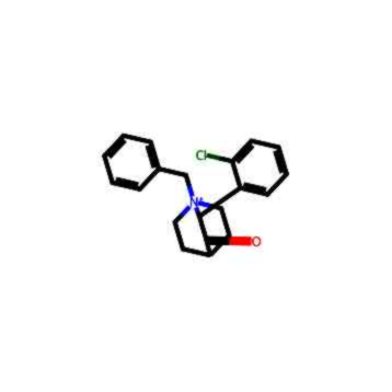 O=C1C2CC[N+](Cc3ccccc3)(CC2)C1c1ccccc1Cl